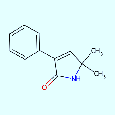 CC1(C)C=C(c2ccccc2)C(=O)N1